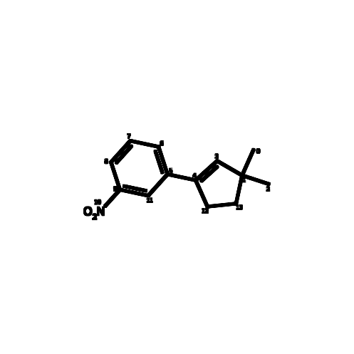 CC1(C)C=C(c2cccc([N+](=O)[O-])c2)CC1